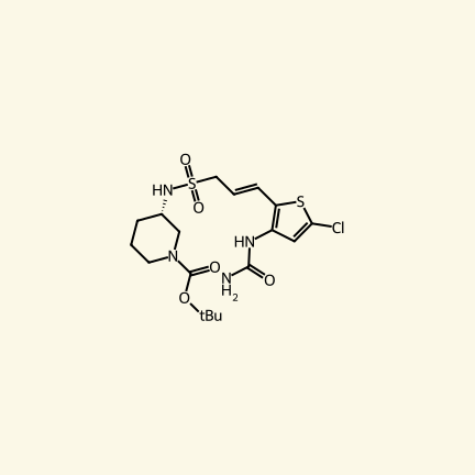 CC(C)(C)OC(=O)N1CCC[C@H](NS(=O)(=O)CC=Cc2sc(Cl)cc2NC(N)=O)C1